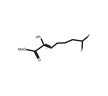 CCC/C(=C\CCCC(F)F)C(=O)OC